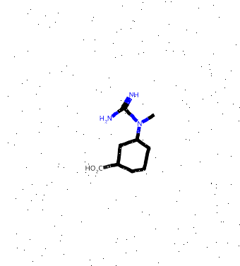 CN(C(=N)N)C1CCCC(C(=O)O)C1